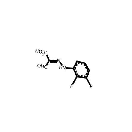 O=C/C(=N\Nc1cccc(F)c1F)C(=O)O